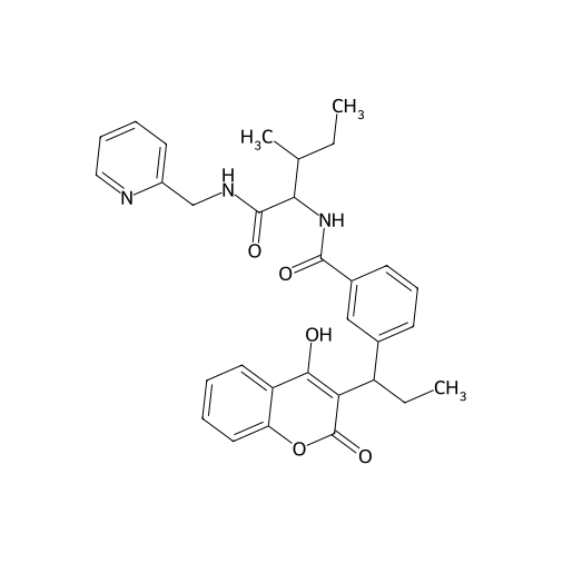 CCC(c1cccc(C(=O)NC(C(=O)NCc2ccccn2)C(C)CC)c1)c1c(O)c2ccccc2oc1=O